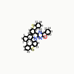 c1cc2c3c(c1)ccc1c3c3c4c(ccc3n1-c1nc3oc5ccccc5c3nc1-c1cccc3sc5ccccc5c13)sc1cccc-2c14